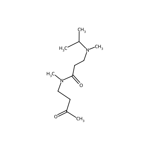 CC(=O)CCN(C)C(=O)CCN(C)C(C)C